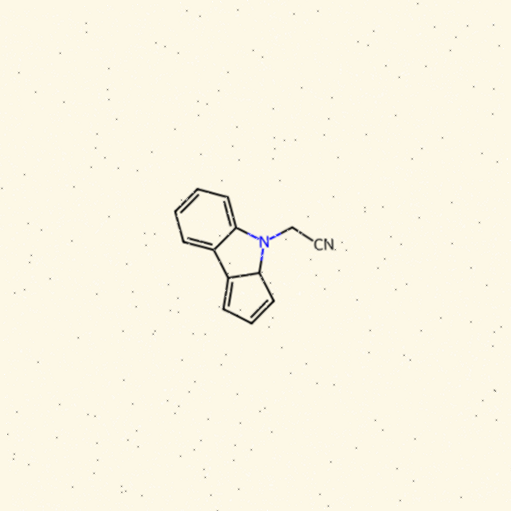 N#CCN1c2ccccc2C2=CC=CC21